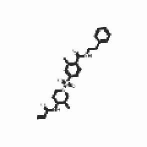 C=CC(=O)NC1CCN(S(=O)(=O)c2ccc(C(=O)NCCc3ccccc3)c(C)c2)CC1C